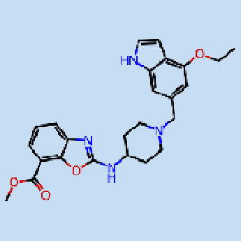 CCOc1cc(CN2CCC(Nc3nc4cccc(C(=O)OC)c4o3)CC2)cc2[nH]ccc12